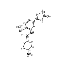 C[C@H](Nc1cc(-c2n[nH]c(=O)o2)ccc1Br)C1CCC(N)CC1.Cl